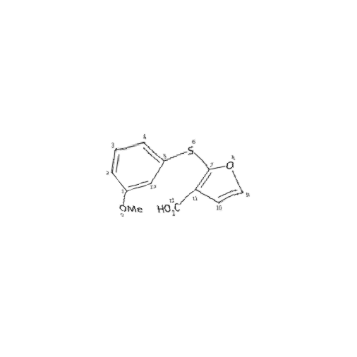 COc1cccc(Sc2occc2C(=O)O)c1